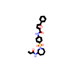 C=CC(=O)NC1CCCCN(S(=O)(=O)c2ccc(NC(=O)c3ccc(-c4ccccc4)o3)cc2)C1